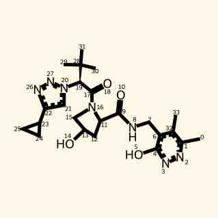 Cc1nnc(O)c(CNC(=O)C2CC(O)CN2C(=O)[C@@H](n2cc(C3CC3)nn2)C(C)(C)C)c1C